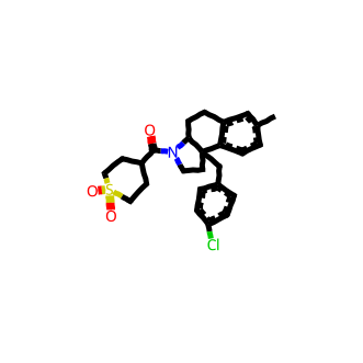 Cc1ccc2c(c1)CCC1N(C(=O)C3CCS(=O)(=O)CC3)CCC21Cc1ccc(Cl)cc1